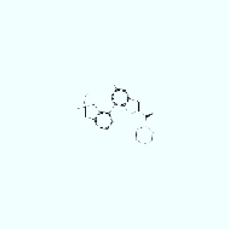 CCC1(CO)Cc2nccc(-c3cc(Cl)cc4c3OC(C(=O)N3CCNCC3)C4)c2C1